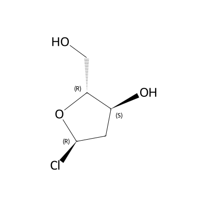 OC[C@H]1O[C@H](Cl)C[C@@H]1O